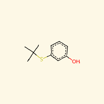 CC(C)(C)Sc1cccc(O)c1